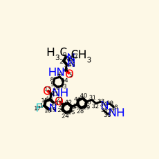 Cc1cc(C(=O)NC2CCC(NC(=O)c3cc(F)cnc3Oc3cccc(-c4ccc(CCCN5CCNCC5)cc4)c3)CC2)nn1C